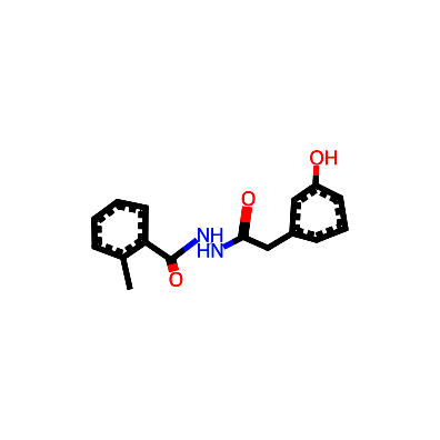 Cc1ccccc1C(=O)NNC(=O)Cc1cccc(O)c1